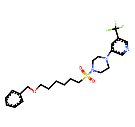 O=S(=O)(CCCCCCOCc1ccccc1)N1CCN(c2cncc(C(F)(F)F)c2)CC1